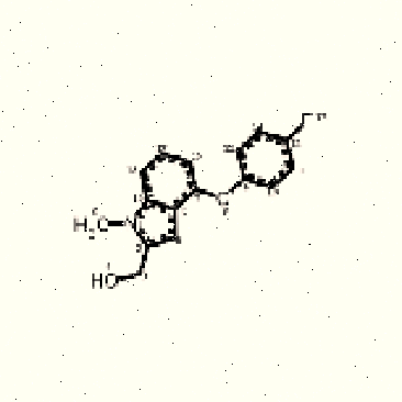 Cn1c(CO)cc2c(Oc3ccc(F)cc3)cccc21